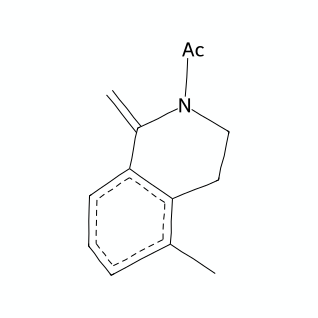 C=C1c2cccc(C)c2CCN1C(C)=O